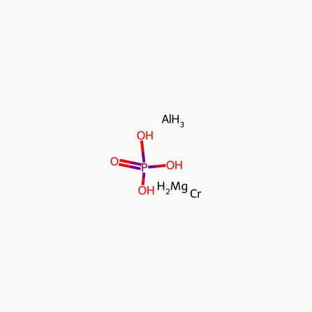 O=P(O)(O)O.[AlH3].[Cr].[MgH2]